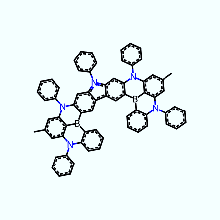 Cc1cc2c3c(c1)N(c1ccccc1)c1cc4c(cc1B3c1ccccc1N2c1ccccc1)c1cc2c(cc1n4-c1ccccc1)N(c1ccccc1)c1cc(C)cc3c1B2c1ccccc1N3c1ccccc1